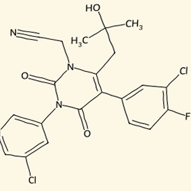 CC(C)(O)Cc1c(-c2ccc(F)c(Cl)c2)c(=O)n(-c2cncc(Cl)c2)c(=O)n1CC#N